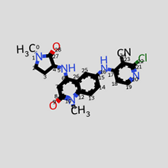 CN1CCC(Nc2cc(=O)n(C)c3ccc(Nc4ccnc(Cl)c4C#N)cc23)C1=O